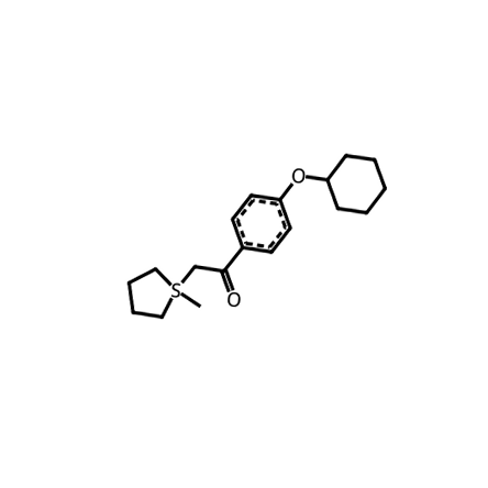 CS1(CC(=O)c2ccc(OC3CCCCC3)cc2)CCCC1